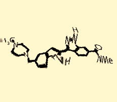 CNC(=O)c1ccc2c(-c3cc4cc(CN5CCN(C)CC5)ccc4[nH]3)n[nH]c2c1